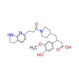 COc1cc(C(CC(=O)O)CC2CCN(C(=O)CCc3ccc4c(n3)NCCC4)CC2)ccc1O